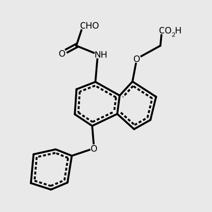 O=CC(=O)Nc1ccc(Oc2ccccc2)c2cccc(OCC(=O)O)c12